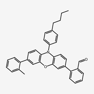 CCCCc1ccc(N2c3ccc(-c4ccccc4C)cc3Oc3cc(-c4ccccc4C=O)ccc32)cc1